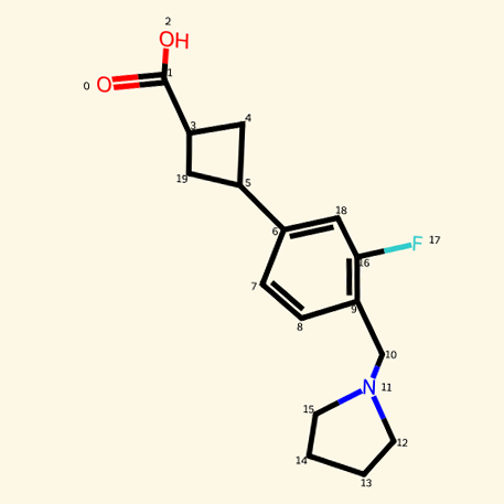 O=C(O)C1CC(c2ccc(CN3CCCC3)c(F)c2)C1